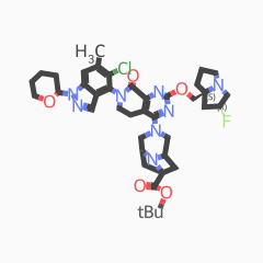 Cc1cc2c(cnn2C2CCCCO2)c(N2CCc3c(nc(OC[C@@]45CCCN4C[C@H](F)C5)nc3N3CC4CC5(C(=O)OC(C)(C)C)CC(C3)N45)C2=O)c1Cl